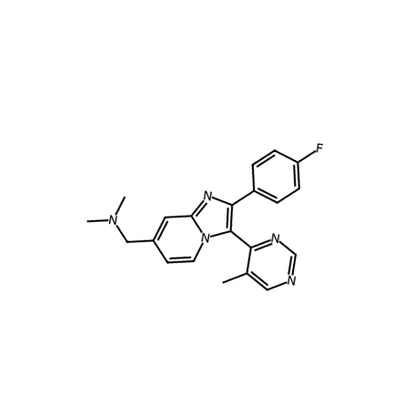 Cc1cncnc1-c1c(-c2ccc(F)cc2)nc2cc(CN(C)C)ccn12